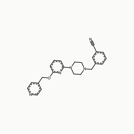 N#Cc1cccc(CN2CCN(c3cccc(OCc4ccncc4)n3)CC2)c1